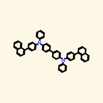 C1=CC2=C(c3ccc(N(C4=CC=C(c5ccc(N(c6ccccc6)c6ccc(-c7cccc8ccccc78)cc6)cc5)CC4)c4ccccc4)cc3)C=CCC2C=C1